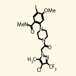 CNC(=O)c1cc(I)c(OC)cc1N1CCN(C(=O)Cn2nc(C(F)(F)F)c(Cl)c2C)CC1